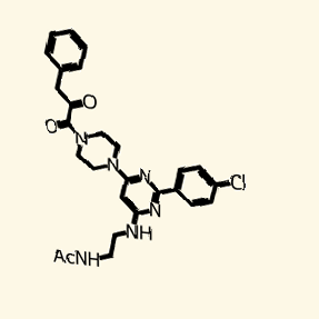 CC(=O)NCCNc1cc(N2CCN(C(=O)C(=O)Cc3ccccc3)CC2)nc(-c2ccc(Cl)cc2)n1